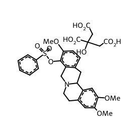 COc1cc2c(cc1OC)C1Cc3ccc(OC)c(OS(=O)(=O)c4ccccc4)c3CN1CC2.O=C(O)CC(O)(CC(=O)O)C(=O)O